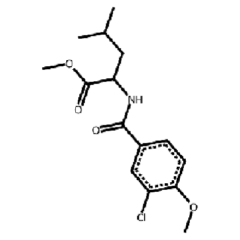 COC(=O)C(CC(C)C)NC(=O)c1ccc(OC)c(Cl)c1